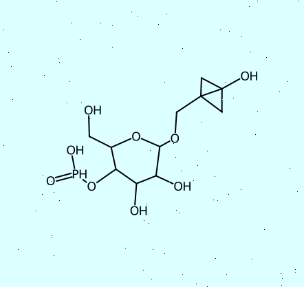 O=[PH](O)OC1C(CO)OC(OCC23CC2(O)C3)C(O)C1O